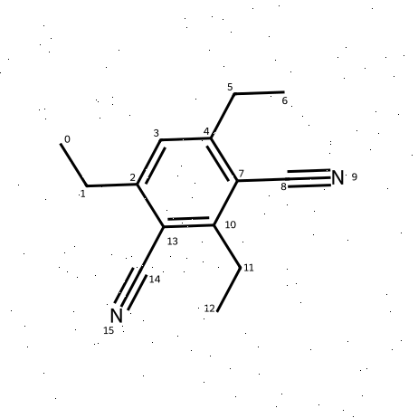 CCc1cc(CC)c(C#N)c(CC)c1C#N